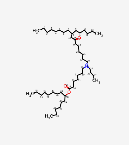 CCCCCCCCC(CCCCCC)CC(=O)CCCCCCN(CCCC)CCCCCCC(=O)OC(CCCCCC)CCCCCCCC